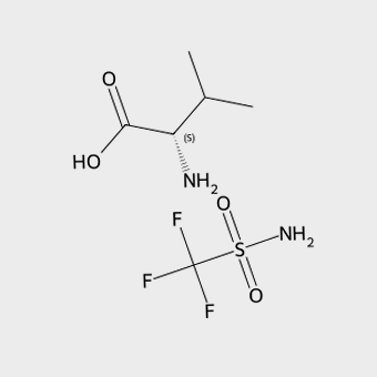 CC(C)[C@H](N)C(=O)O.NS(=O)(=O)C(F)(F)F